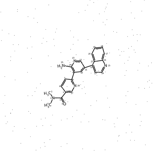 CN(C)C(=O)c1ccc(-c2cc(-c3ccnc4ccccc34)cnc2N)nc1